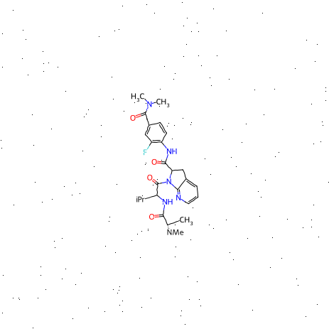 CN[C@@H](C)C(=O)NC(C(=O)N1c2ncccc2CC1C(=O)Nc1ccc(C(=O)N(C)C)cc1F)C(C)C